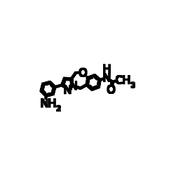 CC(=O)Nc1ccc2c(c1)OCc1cc(-c3cccc(N)c3)nn1C2